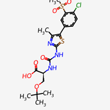 Cc1nc(NC(=O)N[C@@H](COC(C)(C)C)C(=O)O)sc1-c1ccc(Cl)c(S(C)(=O)=O)c1